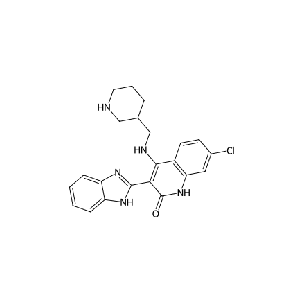 O=c1[nH]c2cc(Cl)ccc2c(NCC2CCCNC2)c1-c1nc2ccccc2[nH]1